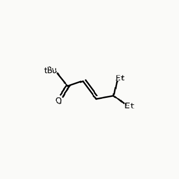 CCC(/C=C/C(=O)C(C)(C)C)CC